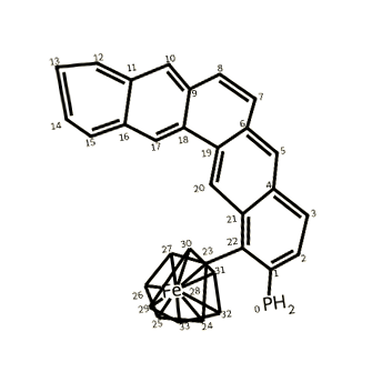 Pc1ccc2cc3ccc4cc5ccccc5cc4c3cc2c1[C]12[CH]3[CH]4[CH]5[CH]1[Fe]45321678[CH]2[CH]1[CH]6[CH]7[CH]28